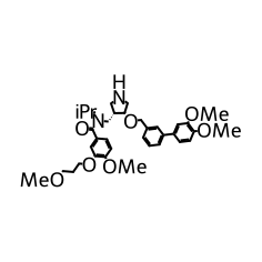 COCCCOc1cc(C(=O)N(C[C@@H]2CNC[C@H]2OCc2cccc(-c3ccc(OC)c(OC)c3)c2)C(C)C)ccc1OC